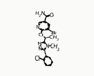 C[C@H](Oc1ncc(C(N)=O)cc1Br)c1nnc(-c2ccccc2Cl)n1C